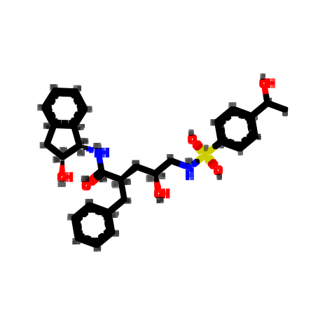 CC(O)c1ccc(S(=O)(=O)NC[C@@H](O)C[C@@H](Cc2ccccc2)C(=O)N[C@H]2c3ccccc3C[C@H]2O)cc1